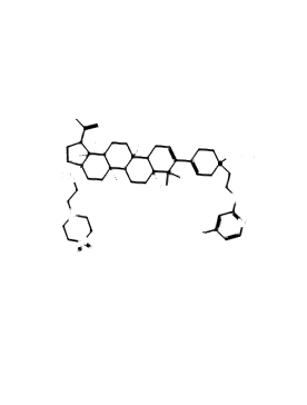 C=C(C)C1CC[C@]2(NCCN3CCS(=O)(=O)CC3)CC[C@]3(C)[C@H](CC[C@@H]4[C@@]5(C)CC=C(C6=CCC(CCOc7cc(Cl)ccn7)(C(=O)O)CC6)C(C)(C)[C@@H]5CC[C@]43C)[C@@H]12